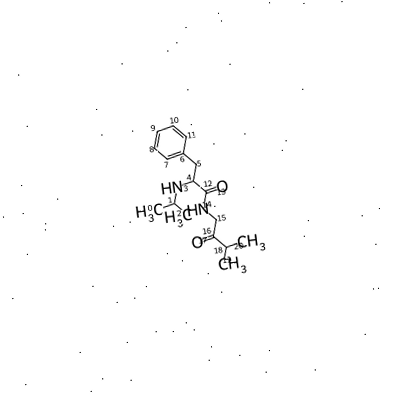 CC(C)NC(Cc1ccccc1)C(=O)NCC(=O)C(C)C